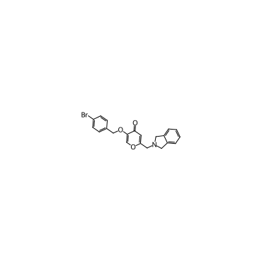 O=c1cc(CN2Cc3ccccc3C2)occ1OCc1ccc(Br)cc1